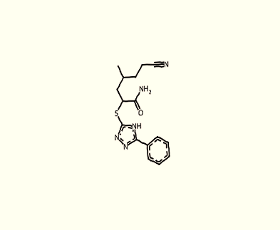 CC(CCC#N)CC(Sc1nnc(-c2ccccc2)[nH]1)C(N)=O